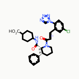 O=C(O)C1CCC(NC(=O)[C@H]2[C@@H](c3ccccc3)CCCN2C(=O)/C=C/c2cc(Cl)ccc2-n2cnnn2)CC1